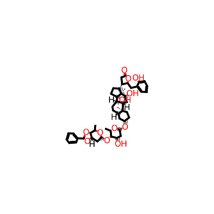 CC1O[C@@H](O[C@H]2CC[C@@]3(C)[C@H](CC[C@@H]4[C@@H]3C[C@@H](O)[C@]3(C)[C@@H](C5CC(=O)OC5Cc5ccccc5O)CC[C@]43O)C2)C[C@@H](O)C1O[C@H]1C[C@H]2OC(c3ccccc3)OC2C(C)O1